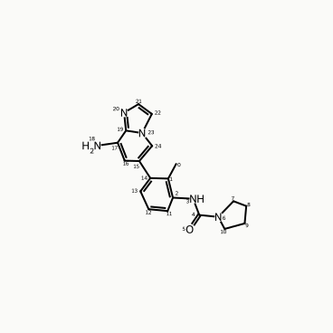 Cc1c(NC(=O)N2CCCC2)cccc1-c1cc(N)c2nccn2c1